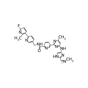 C/N=C\c1nc(Nc2cc(C)nc(-c3ccc(C(=O)NCc4ccc(-c5ccc(F)nc5C)nc4)nc3)n2)c[nH]1